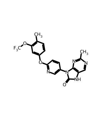 Cc1ncc2[nH]c(=O)n(-c3ccc(Oc4ccc(C)c(OC(F)(F)F)c4)nc3)c2n1